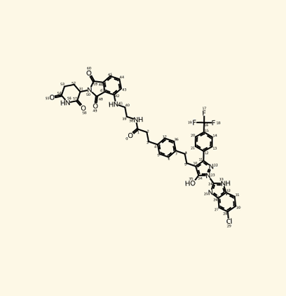 O=C(CCc1ccc(CCc2c(-c3ccc(C(F)(F)F)cc3)nn(-c3nc4cc(Cl)ccc4[nH]3)c2O)cc1)NCCNc1cccc2c1C(=O)N(C1CCC(=O)NC1=O)C2=O